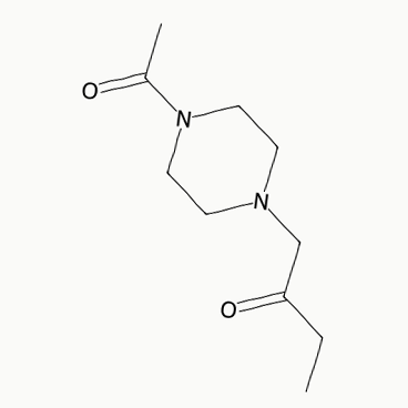 CCC(=O)CN1CCN(C(C)=O)CC1